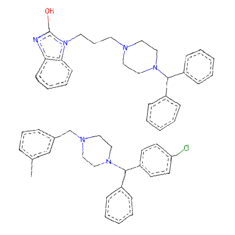 Cc1cccc(CN2CCN(C(c3ccccc3)c3ccc(Cl)cc3)CC2)c1.Oc1nc2ccccc2n1CCCN1CCN(C(c2ccccc2)c2ccccc2)CC1